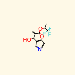 C=C(C(=O)OC(C)C(F)(F)F)C(O)c1cccnc1